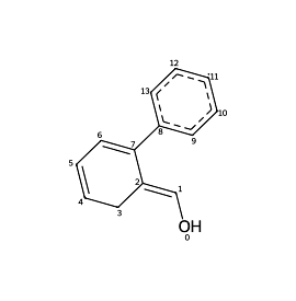 OC=C1CC=CC=C1c1cc[c]cc1